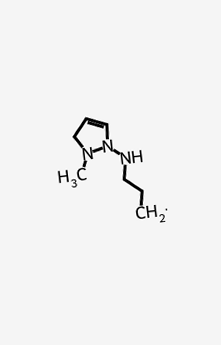 [CH2]CCNN1C=CCN1C